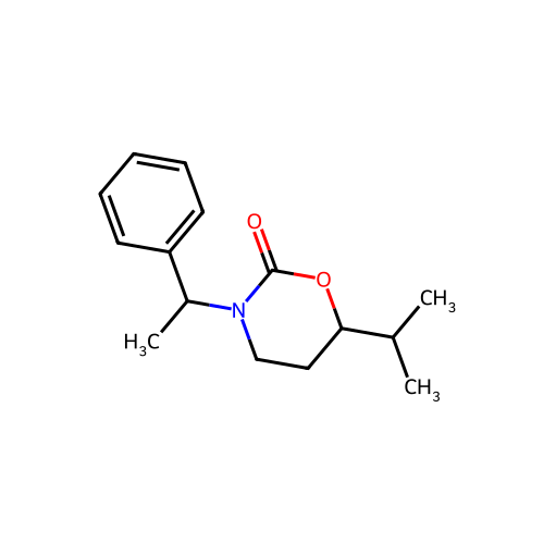 CC(C)C1CCN(C(C)c2ccccc2)C(=O)O1